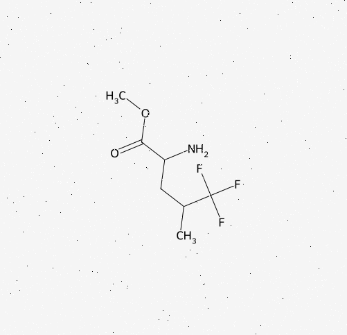 COC(=O)C(N)CC(C)C(F)(F)F